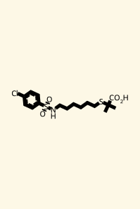 CC(C)(SCCCCCCNS(=O)(=O)c1ccc(Cl)cc1)C(=O)O